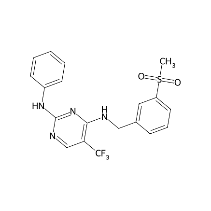 CS(=O)(=O)c1cccc(CNc2nc(Nc3ccccc3)ncc2C(F)(F)F)c1